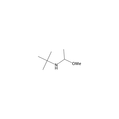 COC(C)NC(C)(C)C